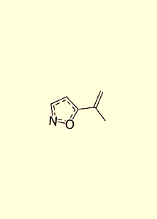 C=C(C)c1ccno1